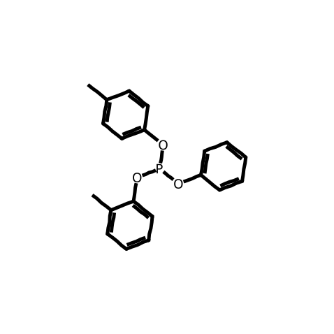 Cc1ccc(OP(Oc2ccccc2)Oc2ccccc2C)cc1